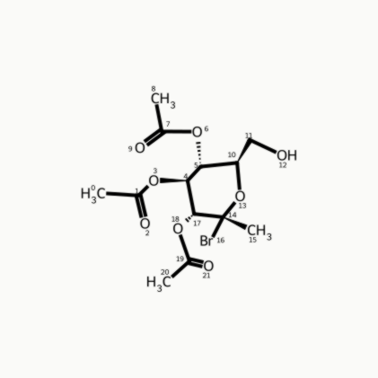 CC(=O)O[C@H]1[C@H](OC(C)=O)[C@@H](CO)O[C@](C)(Br)[C@@H]1OC(C)=O